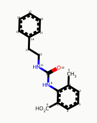 Cc1cccc(C(=O)O)c1NC(=O)NCCc1ccccc1